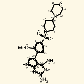 COc1cc(S(=O)(=O)N2CCC(N3CCOCC3)CC2)ccc1-c1c[nH]c2nc(N)nc(N)c12